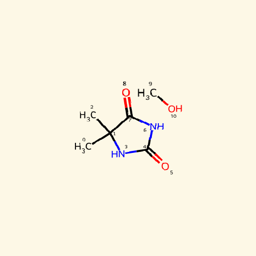 CC1(C)NC(=O)NC1=O.CO